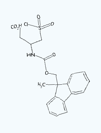 CC1(COC(=O)NC(CC(=O)O)CS(=O)(=O)Cl)c2ccccc2-c2ccccc21